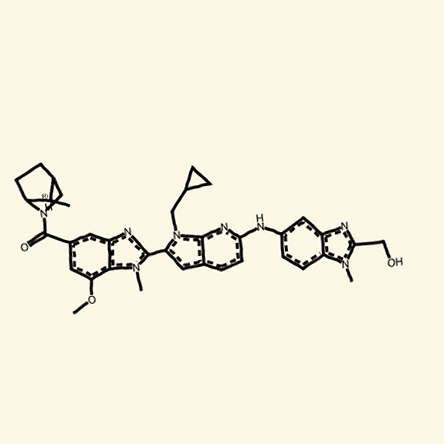 COc1cc(C(=O)N2CC3CCC2[C@@H]3C)cc2nc(-c3cc4ccc(Nc5ccc6c(c5)nc(CO)n6C)nc4n3CC3CC3)n(C)c12